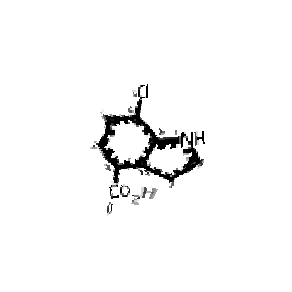 O=C(O)c1ccc(Cl)c2[nH]ccc12